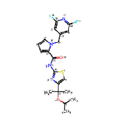 CC(C)OC(C)(C)c1csc(NC(=O)c2cccn2Cc2cc(F)nc(F)c2)n1